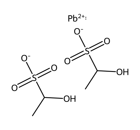 CC(O)S(=O)(=O)[O-].CC(O)S(=O)(=O)[O-].[Pb+2]